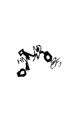 FC(F)(F)Oc1ccc(-c2nc(C3(CN[C@H]4C[C@@H]4c4ccccc4)CCC3)no2)cc1